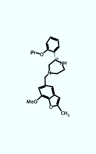 COc1cc(CN2CCN[C@@H](c3ccccc3OC(C)C)C2)cc2cc(C)oc12